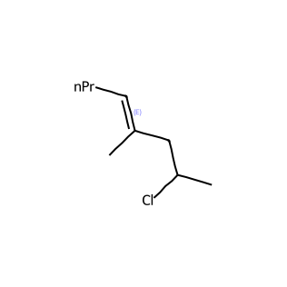 CCC/C=C(\C)CC(C)Cl